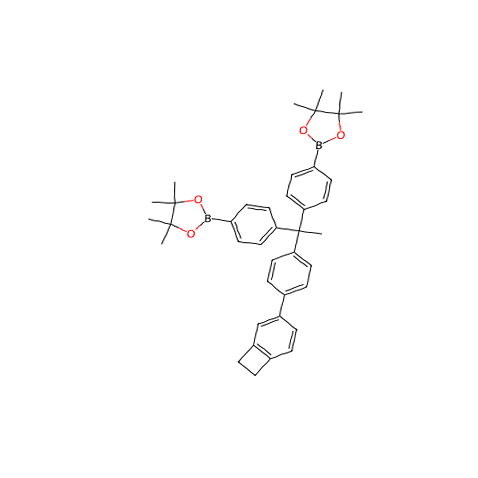 CC(c1ccc(B2OC(C)(C)C(C)(C)O2)cc1)(c1ccc(B2OC(C)(C)C(C)(C)O2)cc1)c1ccc(-c2ccc3c(c2)CC3)cc1